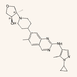 Cc1cc2cnc(Nc3cnn(C4CC4)c3C)nc2cc1C1CCN([C@]2(C)COC[C@@H]2O)CC1